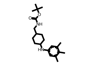 Cc1cc(NC2CCC(CNC(=O)OC(C)(C)C)CC2)cc(C)c1C